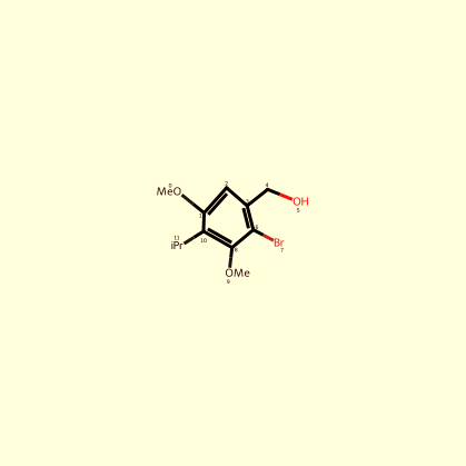 COc1cc(CO)c(Br)c(OC)c1C(C)C